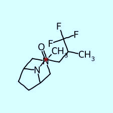 CC(CC(=O)N1C2CCC1CN(C)C2)C(F)(F)F